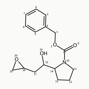 O=C(OCc1ccccc1)N1CCCC1C(O)CC1CO1